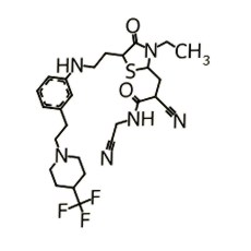 CCN1C(=O)C(CCNc2cccc(CCN3CCC(C(F)(F)F)CC3)c2)SC1CC(C#N)C(=O)NCC#N